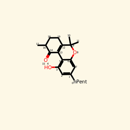 CCCCCc1cc(O)c2c(c1)OC(C)(C)C1=C2C(=O)C(C)CC1